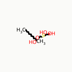 CCCCCCCCCC(OCCCSCC(O)CO)C(C)O